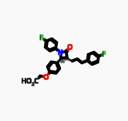 O=C(O)COc1ccc([C@@H]2[C@@H](CCCc3ccc(F)cc3)C(=O)N2c2ccc(F)cc2)cc1